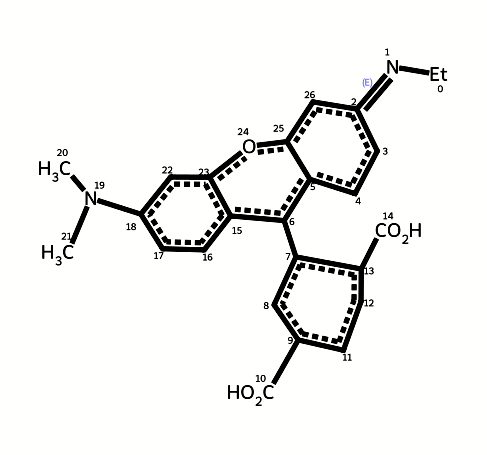 CC/N=c1\ccc2c(-c3cc(C(=O)O)ccc3C(=O)O)c3ccc(N(C)C)cc3oc-2c1